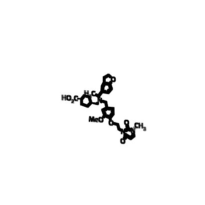 COc1cc(CN(C[C@H]2CC[C@H](C(=O)O)CC2)C(C)c2ccc3c(c2)CCO3)ccc1OCCn1c(=O)ccn(C)c1=O